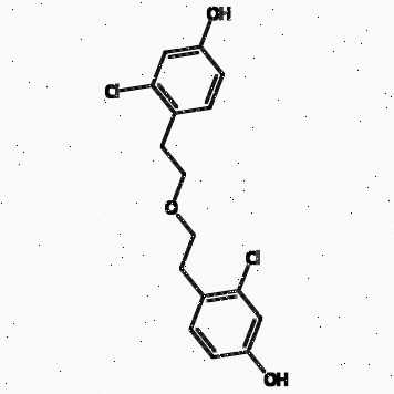 Oc1ccc(CCOCCc2ccc(O)cc2Cl)c(Cl)c1